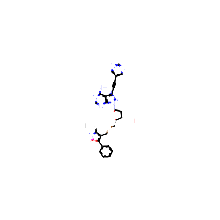 Cc1noc(-c2ccccc2)c1CSC[C@H]1O[C@@H](n2nc(C#Cc3cncnc3)c3c(N)ncnc32)[C@H](O)[C@@H]1O